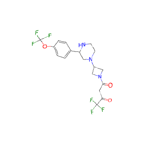 O=C(CC(=O)C(F)(F)F)N1CC(N2CCNC(c3ccc(OC(F)(F)F)cc3)C2)C1